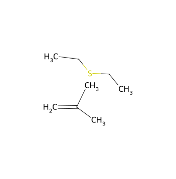 C=C(C)C.CCSCC